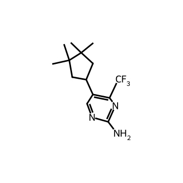 CC1(C)CC(c2cnc(N)nc2C(F)(F)F)CC1(C)C